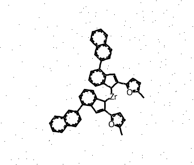 Cc1ccc(C2=Cc3c(-c4ccc5ccccc5c4)cccc3[CH]2[Zr][CH]2C(c3ccc(C)o3)=Cc3c(-c4ccc5ccccc5c4)cccc32)o1